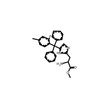 COC(=O)C(N)Cc1ncc(C(c2ccccc2)(c2ccccc2)c2ccc(C)cc2F)[nH]1